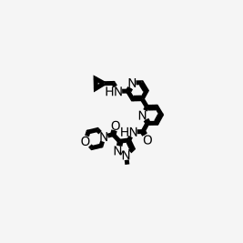 Cn1cc(NC(=O)c2cccc(-c3ccnc(NCC4CC4)c3)n2)c(C(=O)N2CCOCC2)n1